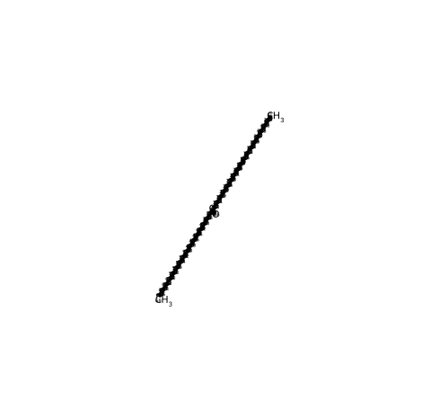 CCCCCCCCCCCCCCCCCCCCCCCCCCCCCCCCCCOC(=O)CCCCCCCCCCCCCCCCCCCCCCCCCCCCCCCC